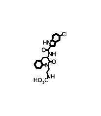 O=C(O)NCCN1C(=O)C(NC(=O)c2cc3cc(Cl)ccc3[nH]2)Cc2ccccc21